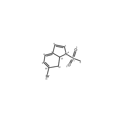 CS(=O)(=O)N1C=CC2=CC=C(Br)CC21